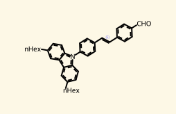 CCCCCCc1ccc2c(c1)c1cc(CCCCCC)ccc1n2-c1ccc(/C=C/c2ccc(C=O)cc2)cc1